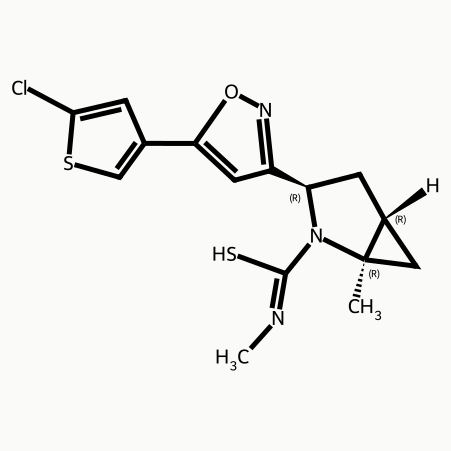 CN=C(S)N1[C@@H](c2cc(-c3csc(Cl)c3)on2)C[C@@H]2C[C@]21C